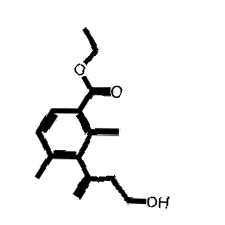 C=C(CCO)c1c(C)ccc(C(=O)OCC)c1C